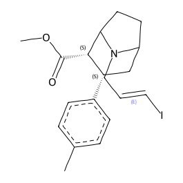 COC(=O)[C@@H]1C2CCC(C[C@@H]1c1ccc(C)cc1)N2C/C=C/I